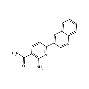 NC(=O)c1ccc(-c2cnc3ccccc3c2)nc1N